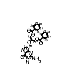 Nc1nc2c(ncn2COC(COC(=O)c2ccccc2)COC(=O)c2ccccc2)c(=O)[nH]1